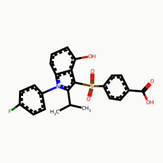 CC(C)c1c(S(=O)(=O)c2ccc(C(=O)O)cc2)c2c(O)cccc2n1-c1ccc(F)cc1